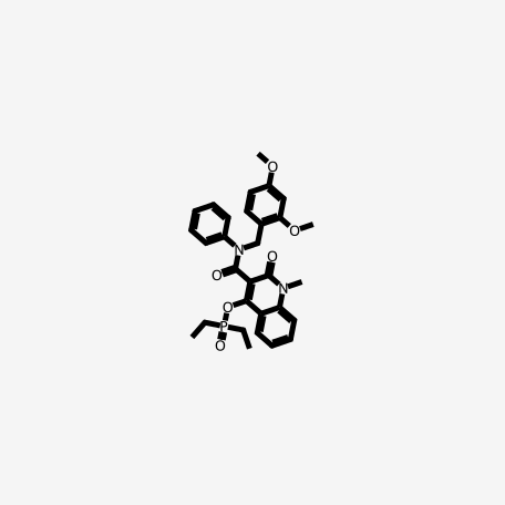 CCP(=O)(CC)Oc1c(C(=O)N(Cc2ccc(OC)cc2OC)c2ccccc2)c(=O)n(C)c2ccccc12